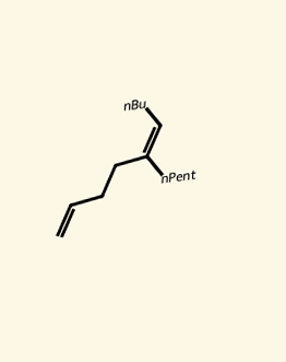 C=CCCC(=CCCCC)CCCCC